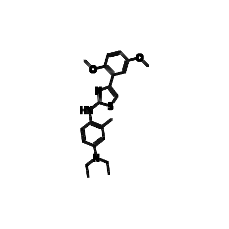 CCN(CC)c1ccc(Nc2nc(-c3cc(OC)ccc3OC)cs2)c(C)c1